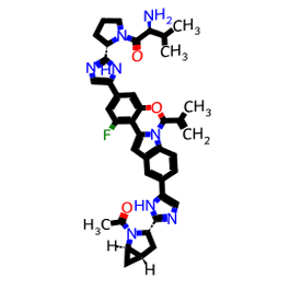 C=C(C)C1Oc2cc(-c3cnc([C@@H]4CCCN4C(=O)[C@@H](N)C(C)C)[nH]3)cc(F)c2-c2cc3cc(-c4cnc([C@@H]5C[C@H]6C[C@H]6N5C(C)=O)[nH]4)ccc3n21